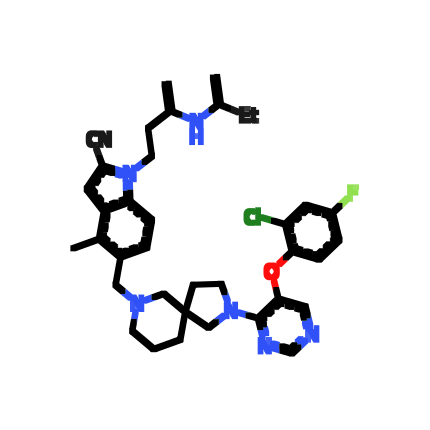 C=C(CC)NC(=C)CCn1c(C#N)cc2c(C)c(CN3CCCC4(CCN(c5ncncc5Oc5ccc(F)cc5Cl)C4)C3)ccc21